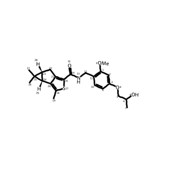 COc1cc(OCC(C)O)ccc1CNC(=O)c1sc(C)c2c1C[C@@H]1[C@H]2C1(C)C